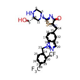 O=C1N=C(N2CCN[C@@H](CO)C2)S/C1=C\c1ccc2c(cnn2Cc2ccc(C(F)(F)F)cc2C(F)(F)F)c1